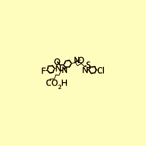 O=C(O)CCCCc1nc2cc(C3=NOC(c4nc5ccc(Cl)cc5s4)C3)ccc2c(=O)n1-c1ccc(F)cc1